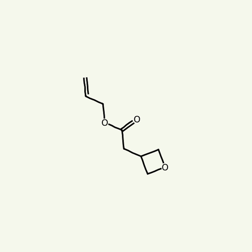 C=CCOC(=O)CC1COC1